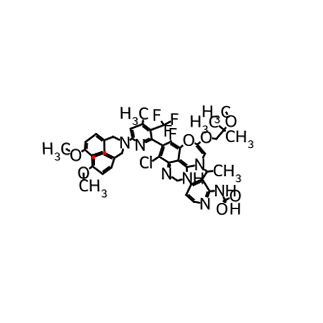 COc1ccc(CN(Cc2ccc(OC)cc2)c2cc(C)c(C(F)(F)F)c(-c3c(F)c4c5c(c3Cl)=NCNC=5N(C(C)c3cccnc3NC(=O)O)C=C(OCC(C)(C)OC)O4)n2)cc1